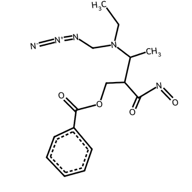 CCN(CN=[N+]=[N-])C(C)C(COC(=O)c1ccccc1)C(=O)N=O